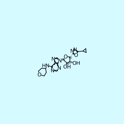 O[C@@H]1[C@H](O)[C@@H](c2nnc(C3CC3)o2)O[C@H]1n1cnc2c(NC3CCOCC3)ncnc21